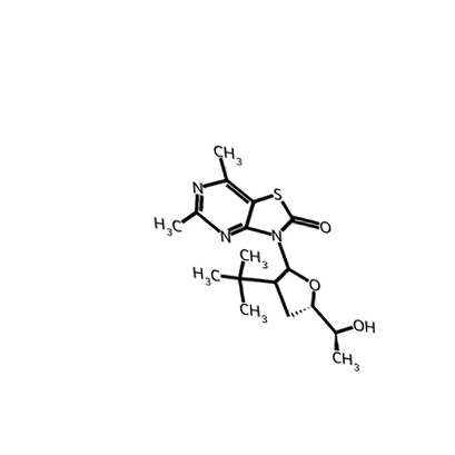 Cc1nc(C)c2sc(=O)n(C3O[C@H]([C@H](C)O)CC3C(C)(C)C)c2n1